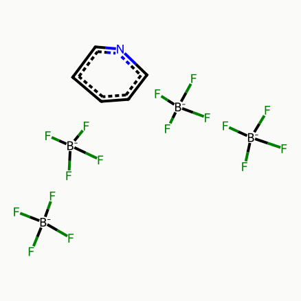 F[B-](F)(F)F.F[B-](F)(F)F.F[B-](F)(F)F.F[B-](F)(F)F.c1ccncc1